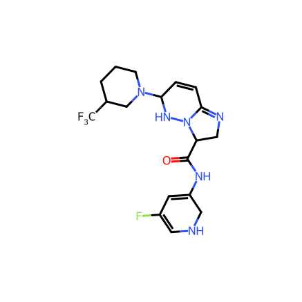 O=C(NC1=CC(F)=CNC1)C1CN=C2C=CC(N3CCCC(C(F)(F)F)C3)NN21